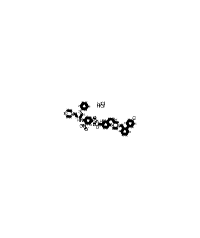 Cl.Cl.O=C(NS(=O)(=O)c1ccc(N[C@H](CCN2CCOCC2)CSc2ccccc2)c([N+](=O)[O-])c1)c1ccc2c(c1)CC[C@@H]1CN(Cc3ccccc3-c3ccc(Cl)cc3)CCN21